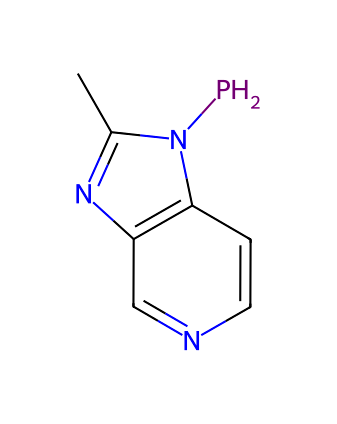 Cc1nc2cnccc2n1P